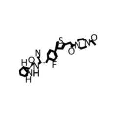 CC(=O)N1CCN(C(=O)Cc2cc(-c3ccc(C[C@@H](C#N)NC(=O)[C@H]4N[C@@H]5CC[C@H]4C5)c(F)c3)cs2)CC1